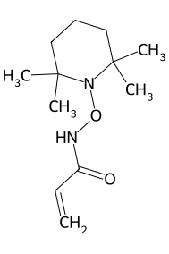 C=CC(=O)NON1C(C)(C)CCCC1(C)C